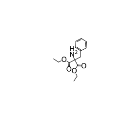 CCOC(=O)C(N)(Cc1ccccc1)C(=O)OCC